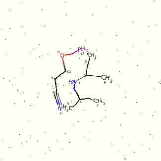 CC(C)NC(C)C.N#CCCOP